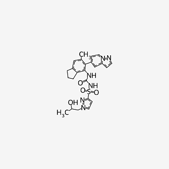 Cc1cc2c(c(NC(=O)NS(=O)(=O)c3ccn(CC(C)O)n3)c1-c1ccn3nccc3c1)CCC2